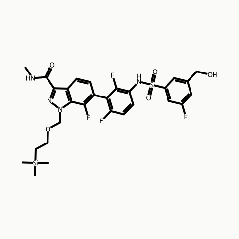 CNC(=O)c1nn(COCC[Si](C)(C)C)c2c(F)c(-c3c(F)ccc(NS(=O)(=O)c4cc(F)cc(CO)c4)c3F)ccc12